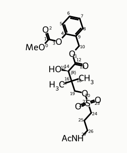 COC(=O)Oc1ccccc1COC(=O)[C@H](O)C(C)(C)COS(=O)(=O)CCCNC(C)=O